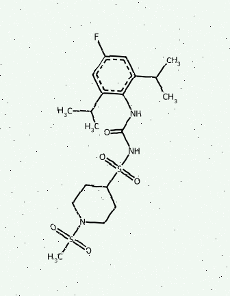 CC(C)c1cc(F)cc(C(C)C)c1NC(=O)NS(=O)(=O)C1CCN(S(C)(=O)=O)CC1